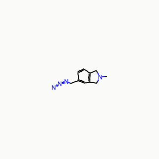 CN1Cc2ccc(CN=[N+]=[N-])cc2C1